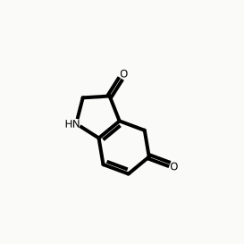 O=C1C=CC2=C(C1)C(=O)CN2